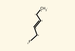 [CH2]C/C=C/CF